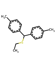 CCSC(c1ccc(C)cc1)c1ccc(C)cc1